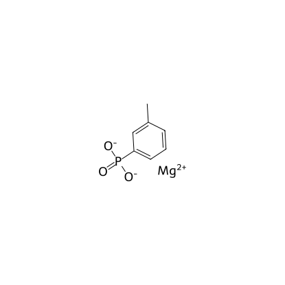 Cc1cccc(P(=O)([O-])[O-])c1.[Mg+2]